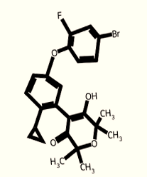 CC1(C)OC(C)(C)C(O)=C(c2cc(Oc3ccc(Br)cc3F)ccc2C2CC2)C1=O